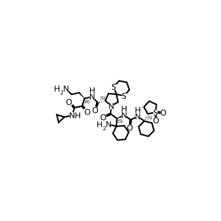 NCC[C@@H](NC(=O)[C@@H]1CC2(CN1C(=O)[C@@H](NC(=O)NC1([C@@H]3CCCS3(=O)=O)CCCCC1)C1(N)CCCCC1)SCCCS2)C(=O)C(=O)NC1CC1